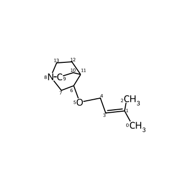 CC(C)=CCOC1CN2CCC1CC2